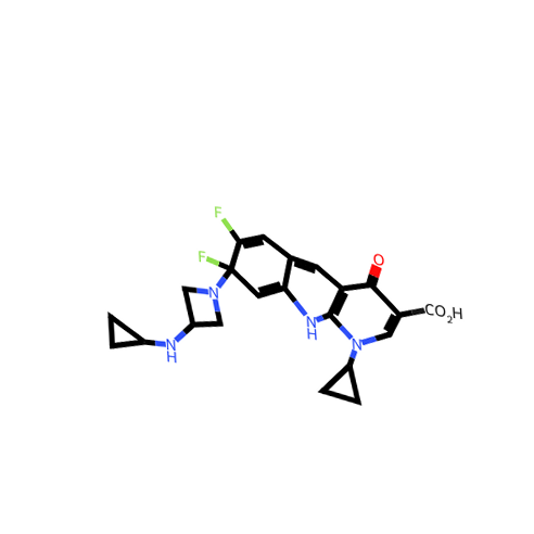 O=C(O)c1cn(C2CC2)c2c(c1=O)C=C1C=C(F)C(F)(N3CC(NC4CC4)C3)C=C1N2